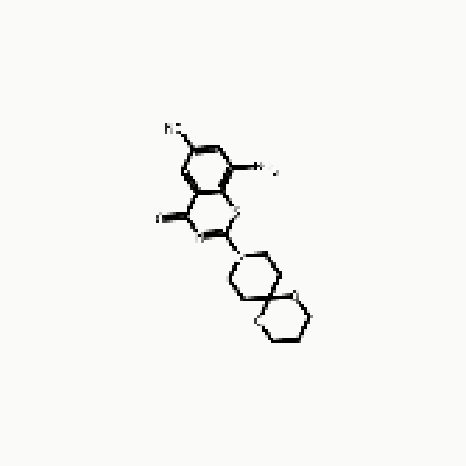 N#Cc1cc([N+](=O)[O-])c2sc(N3CCC4(CC3)OCCCO4)nc(=O)c2c1